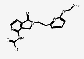 CCC(=O)Nc1nccc2c1CN(CCc1cccc(OCC(F)(F)F)n1)C2=O